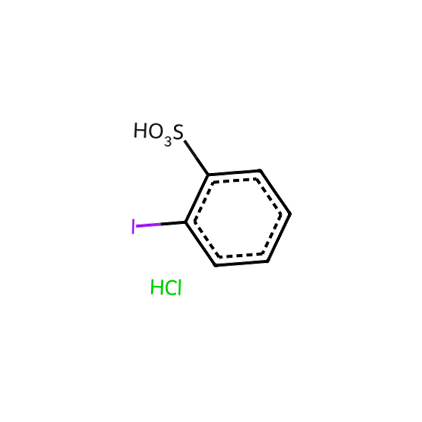 Cl.O=S(=O)(O)c1ccccc1I